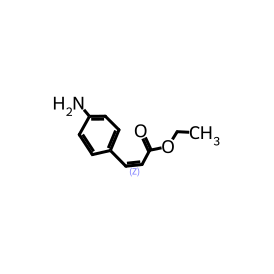 CCOC(=O)/C=C\c1ccc(N)cc1